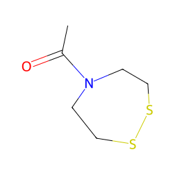 CC(=O)N1CCSSCC1